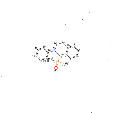 CC(C)P(=O)(C(C)C)[C@H]1c2ccccc2CCN1c1ccccc1